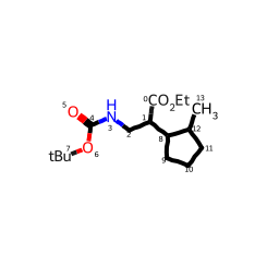 CCOC(=O)C(CNC(=O)OC(C)(C)C)C1CCCC1C